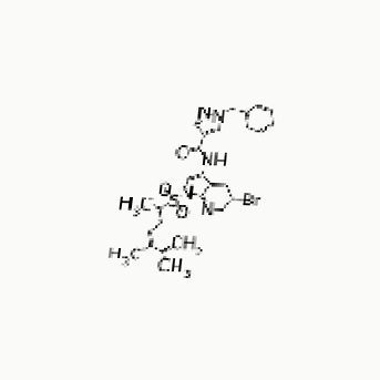 C=C(C)/C(C)=C\C=C(/C)S(=O)(=O)n1cc(NC(=O)c2cnn(Cc3ccccc3)c2)c2c1=NCC(Br)C=2